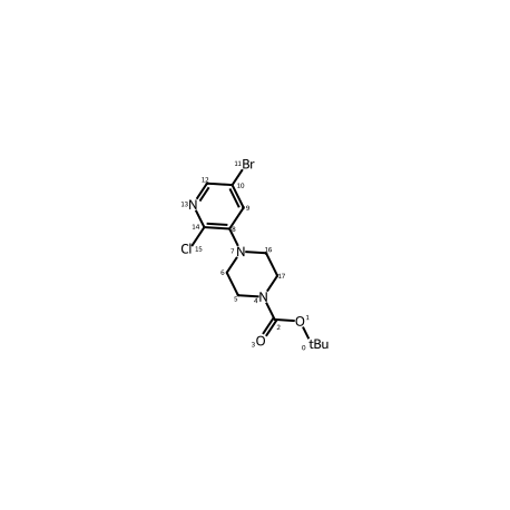 CC(C)(C)OC(=O)N1CCN(c2cc(Br)cnc2Cl)CC1